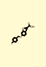 O=C(O)C1C2Oc3cc(OCc4ccc(I)cc4)ccc3C21